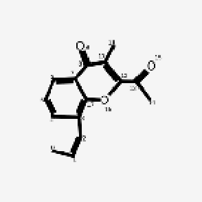 C/C=C\c1cccc2c(=O)c(C)c(C(C)=O)oc12